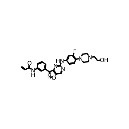 C=CC(=O)Nc1cccc(-c2noc3cnc(Nc4ccc(N5CCN(CCO)CC5)c(F)c4)nc23)c1